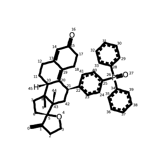 C=C1CCO[C@]12CCC1(C)[C@@H]3CCC4=CC(=O)CCC4=C3[C@@H](c3ccc(P(=O)(c4ccccc4)c4ccccc4)cc3)C[C@@]12C